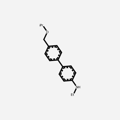 CCNc1ccc(-c2ccc(COC(C)C)cc2)cc1